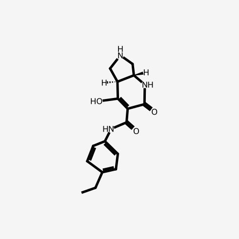 CCc1ccc(NC(=O)C2=C(O)[C@H]3CNC[C@@H]3NC2=O)cc1